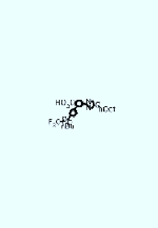 CCCCCCCCOc1cnc(-c2ccc(C(=O)O)c(-c3ccc(C(=O)O[C@@H](CCCC)C(F)(F)F)cc3)c2)nc1